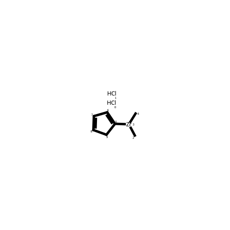 Cl.Cl.[CH3][Zr]([CH3])[C]1=CC=CC1